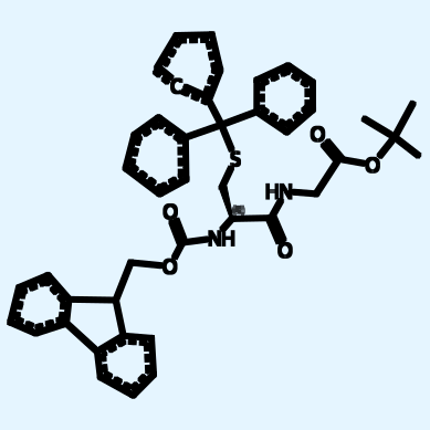 CC(C)(C)OC(=O)CNC(=O)[C@H](CSC(c1ccccc1)(c1ccccc1)c1ccccc1)NC(=O)OCC1c2ccccc2-c2ccccc21